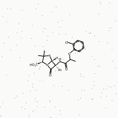 CC(=O)[C@]1(NC(=O)C(C)Oc2ccccc2Cl)C(=O)N2[C@@H](C(=O)O)C(C)(C)S[C@@H]21